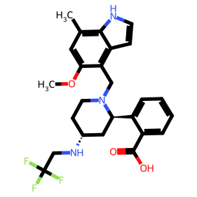 COc1cc(C)c2[nH]ccc2c1CN1CC[C@@H](NCC(F)(F)F)C[C@@H]1c1ccccc1C(=O)O